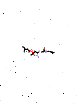 C#CCNC(=O)COCCC(C)(N)OCCC(C)C